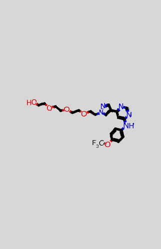 OCCOCCOCCOCCn1cc(-c2cc(Nc3ccc(OC(F)(F)F)cc3)ncn2)cn1